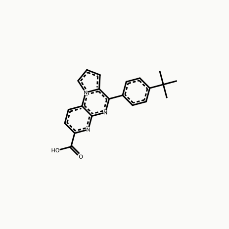 CC(C)(C)c1ccc(-c2nc3nc(C(=O)O)ccc3n3cccc23)cc1